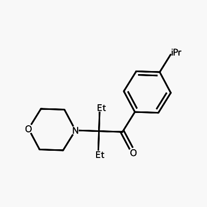 CCC(CC)(C(=O)c1ccc(C(C)C)cc1)N1CCOCC1